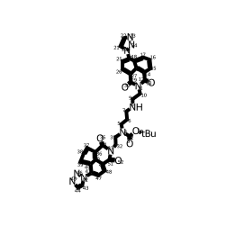 CC(C)(C)OC(=O)N(CCCNCCN1C(=O)c2cccc3c(-n4ccnn4)ccc(c23)C1=O)CCN1C(=O)c2cccc3c(-n4ccnn4)ccc(c23)C1=O